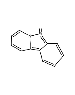 c1ccc2c(c1)[siH]n1ccccc21